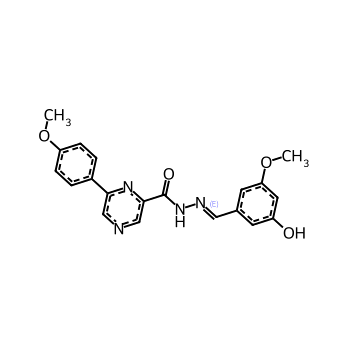 COc1ccc(-c2cncc(C(=O)N/N=C/c3cc(O)cc(OC)c3)n2)cc1